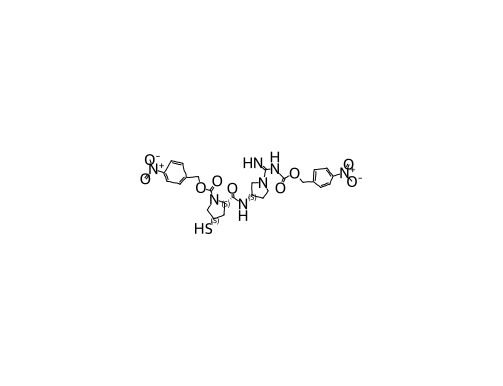 N=C(NC(=O)OCc1ccc([N+](=O)[O-])cc1)N1CC[C@H](NC(=O)[C@@H]2C[C@H](S)CN2C(=O)OCc2ccc([N+](=O)[O-])cc2)C1